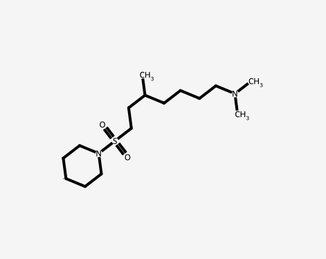 CC(CCCCN(C)C)CCS(=O)(=O)N1CC[CH]CC1